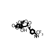 C[C@@H]1C(=O)OC2[C@H](O)[C@@]3(C)C[C@@H](OCc4ccc(C5(C(F)(F)F)N=N5)cc4)C(=O)OCOC3(CO)[C@]21O